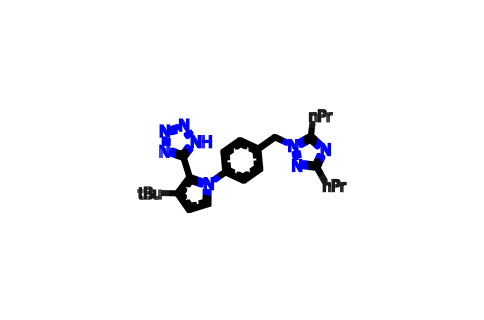 CCCc1nc(CCC)n(Cc2ccc(-n3ccc(C(C)(C)C)c3-c3nnn[nH]3)cc2)n1